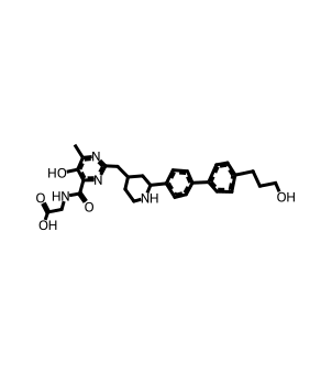 Cc1nc(CC2CCNC(c3ccc(-c4ccc(CCCO)cc4)cc3)C2)nc(C(=O)NCC(=O)O)c1O